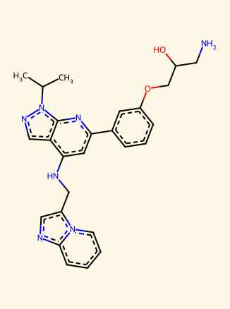 CC(C)n1ncc2c(NCc3cnc4ccccn34)cc(-c3cccc(OCC(O)CN)c3)nc21